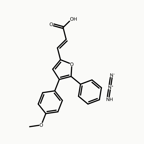 COc1ccc(-c2cc(C=CC(=O)O)oc2-c2ccccc2)cc1.[N-]=[N+]=N